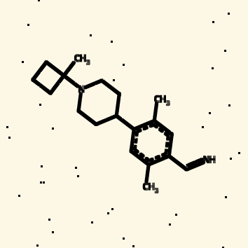 Cc1cc(C2CCN(C3(C)CCC3)CC2)c(C)cc1C=N